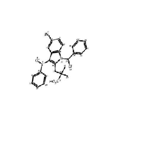 CC(C)c1ccc2c(c1)c([S+]([O-])c1ccccc1)c(CC(C)(C)C(=O)O)n2C(Cl)c1ccccc1